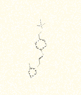 CC(C)(OCc1ccc(/C=C/Cn2cccc2C=O)cc1)C(=O)O